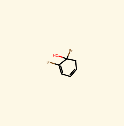 OC1(Br)[CH]C=CC=C1Br